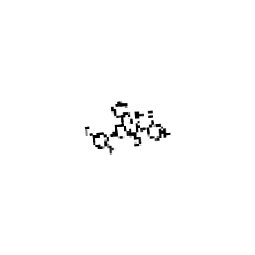 CN1CCC(N(C)C(=O)N2CC(c3cc(F)ccc3F)=C[C@@]2(CO)c2ccccc2)[C@@H](F)C1